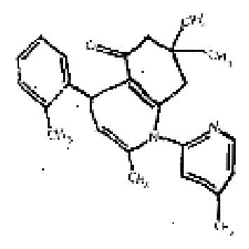 CC1=[C]C(c2ccccc2C)C2=C(CC(C)(C)CC2=O)N1c1cc(C)ccn1